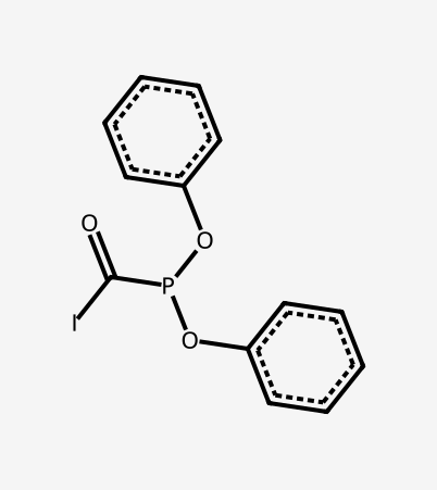 O=C(I)P(Oc1ccccc1)Oc1ccccc1